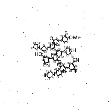 COc1ccc(-c2cc(=O)n3cc(N4C[C@H](O)[C@@H](N5CCCC5)C4)ccc3n2)cc1F.C[C@H]1CN(c2ccc3nc(-c4cc(F)cc(C#N)c4)cc(=O)n3c2)CCN1.N#Cc1cc(F)cc(-c2cc(=O)n3cc(N4CCNCC4)ccc3n2)c1